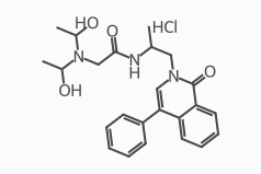 CC(Cn1cc(-c2ccccc2)c2ccccc2c1=O)NC(=O)CN(C(C)O)C(C)O.Cl